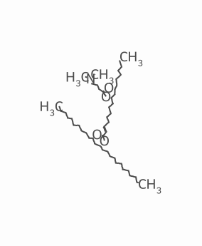 CCCCCCCCCCCCC(CCCCCCCCCCCC)OC(=O)C=CCCCCCC(CCCCCCCCC)OC(=O)CCCN(C)C